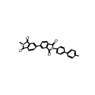 Cc1ccc(-c2ccc(N3C(=O)c4ccc(-c5ccc6c(c5)C(=O)N(C)C6=O)cc4C3=O)cc2)cc1